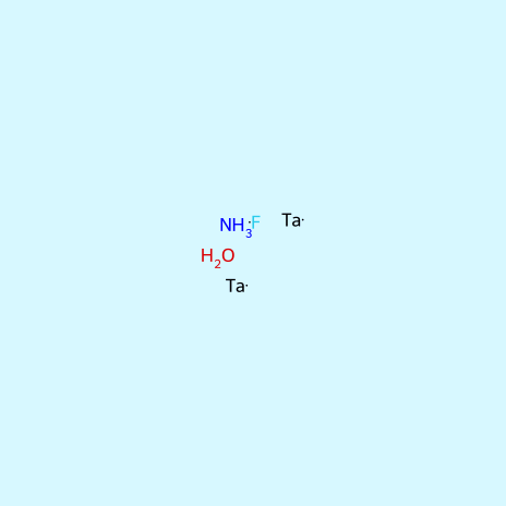 N.O.[F].[Ta].[Ta]